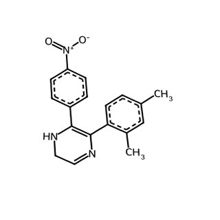 Cc1ccc(C2=C(c3ccc([N+](=O)[O-])cc3)NCC=N2)c(C)c1